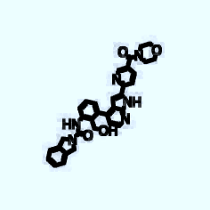 O=C(Nc1cccc(-c2ccnc3[nH]c(-c4ccc(C(=O)N5CCOCC5)cn4)cc23)c1CO)N1Cc2ccccc2C1